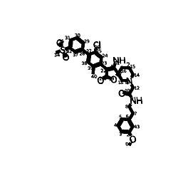 COc1cccc(CCNC(=O)CN2CCCC3(C2)OC(=O)C(c2cc(Cl)c(-c4cccc(S(C)(=O)=O)c4)cc2C)=C3N)c1